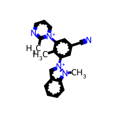 Cc1c(-[n+]2cccnc2C)cc(C#N)cc1-[n+]1cc2ccccc2n1C